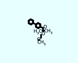 COCCOC(C)(C)C(=O)c1ccc(-c2ccccc2)cc1